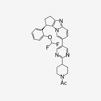 CC(=O)N1CCC(c2ncc(-c3ccc4nc5c(n4c3)[C@@H](c3ccccc3OC(F)F)CC5)cn2)CC1